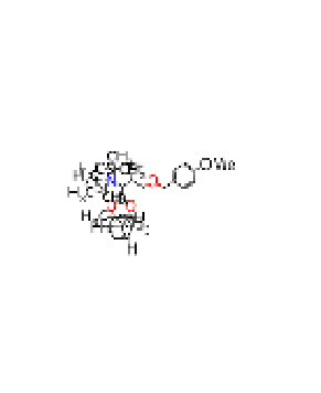 CCC(COCc1ccc(OC)cc1)C(B1O[C@@H]2C[C@@H]3C[C@@H](C3(C)C)[C@]2(C)O1)N([Si](C)(C)C)[Si](C)(C)C